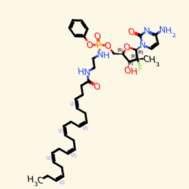 CC/C=C\C/C=C\C/C=C\C/C=C\C/C=C\C/C=C\CCC(=O)NCCNP(=O)(OC[C@H]1O[C@@H](n2ccc(N)nc2=O)[C@](C)(F)[C@@H]1O)Oc1ccccc1